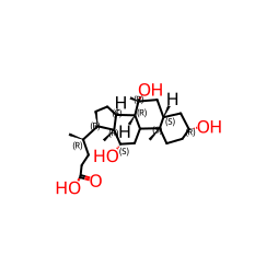 C[C@H](CCC(=O)O)[C@H]1CC[C@H]2[C@H]3C(C[C@H](O)[C@]12C)[C@@]1(C)CC[C@@H](O)C[C@H]1C[C@@]3(C)O